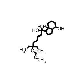 CCC(CC)(CCC=CC(C)(O)C1CCC2C(O)CCCC21C)OCOC